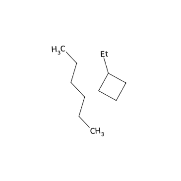 CCC1CCC1.CCCCCC